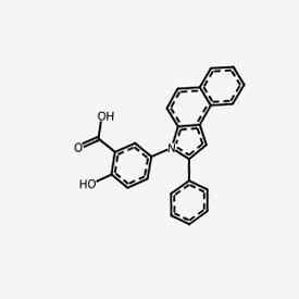 O=C(O)c1cc(-n2c(-c3ccccc3)cc3c4ccccc4ccc32)ccc1O